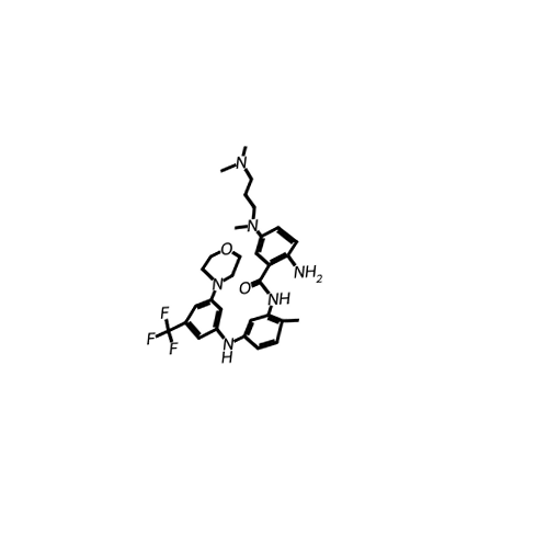 Cc1ccc(Nc2cc(N3CCOCC3)cc(C(F)(F)F)c2)cc1NC(=O)c1cc(N(C)CCCN(C)C)ccc1N